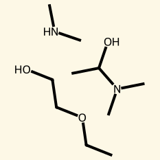 CC(O)N(C)C.CCOCCO.CNC